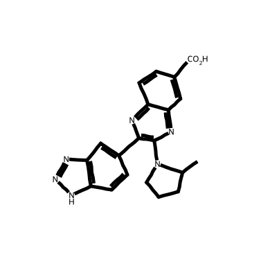 CC1CCCN1c1nc2cc(C(=O)O)ccc2nc1-c1ccc2[nH]nnc2c1